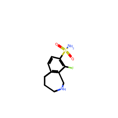 NS(=O)(=O)c1ccc2c(c1F)CNCCC2